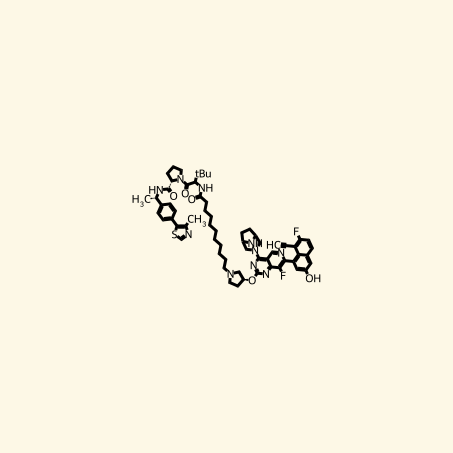 C#Cc1c(F)ccc2cc(O)cc(-c3ncc4c(N5CC6CCC(C5)N6)nc(O[C@H]5CCN(CCCCCCCCCCC(=O)NC(C(=O)N6CCC[C@H]6C(=O)N[C@@H](C)c6ccc(-c7scnc7C)cc6)C(C)(C)C)C5)nc4c3F)c12